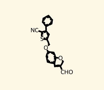 N#Cc1sc(COc2ccc3c(c2)OCC(C=O)=C3)cc1-c1ccccc1